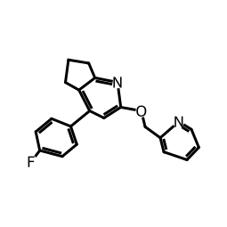 Fc1ccc(-c2cc(OCc3ccccn3)nc3c2CCC3)cc1